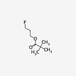 CC(C)(C)C(=O)OCCCF